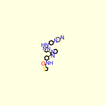 CN(C)C1CCN(c2ccc(Nc3nccc(-c4c(-c5cccc(NC(=O)c6cccs6)c5)nc5ccccn45)n3)cc2)CC1